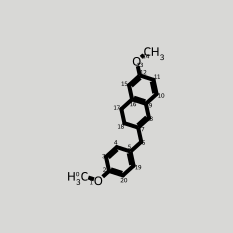 COc1ccc(CC2=[C]c3ccc(OC)cc3CC2)cc1